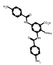 CCCCCCc1c(NC(=O)c2ccc(N)cc2)cc(NC(=O)c2ccc(N)cc2)cc1C(=O)O